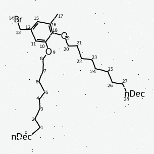 CCCCCCCCCCCCCCCCCCOc1cc(CBr)cc(C)c1OCCCCCCCCCCCCCCCCCC